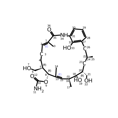 C/C1=C\CC[C@H](CO)[C@@H](OC(N)=O)/C(C)=C/[C@H](C)[C@@H](O)[C@@H](CO)C[C@H](C)Cc2cccc(c2O)NC1=O